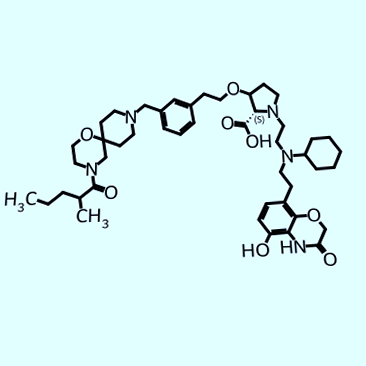 CCCC(C)C(=O)N1CCOC2(CCN(Cc3cccc(CCOC4CCN(CCN(CCc5ccc(O)c6c5OCC(=O)N6)C5CCCCC5)[C@@H]4C(=O)O)c3)CC2)C1